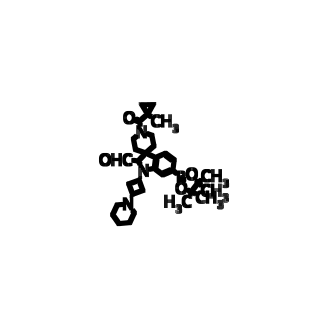 CC1(C(=O)N2CCC3(CC2)c2ccc(B4OC(C)(C)C(C)(C)O4)cc2N([C@H]2C[C@@H](N4CCCCC4)C2)C3C=O)CC1